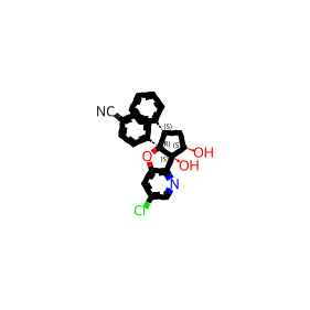 N#Cc1ccc([C@@]23Oc4cc(Cl)cnc4[C@]2(O)[C@@H](O)C[C@H]3c2ccccc2)cc1